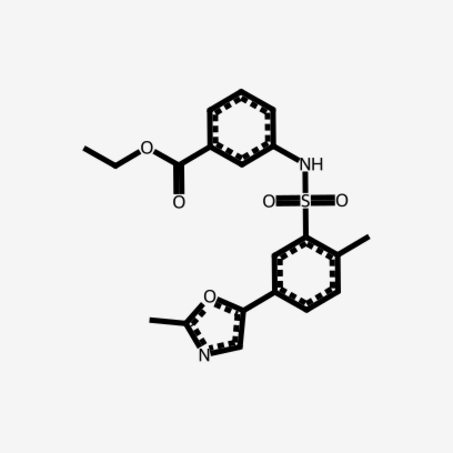 CCOC(=O)c1cccc(NS(=O)(=O)c2cc(-c3cnc(C)o3)ccc2C)c1